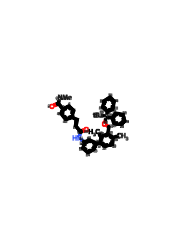 CNC(=O)c1ccc(C=CC(=O)Nc2cccc(-c3ccc(C)c(CO[Si](c4ccccc4)(c4ccccc4)C(C)(C)C)c3C)c2)cc1